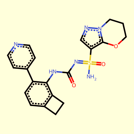 NS(=O)(=NC(=O)Nc1c(-c2ccncc2)ccc2c1CC2)c1cnn2c1OCCC2